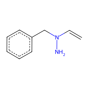 C=CN(N)Cc1ccccc1